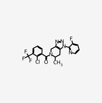 CC1Cc2c(nnn2-c2ncccc2F)CN1C(=O)c1cccc(C(F)(F)F)c1Cl